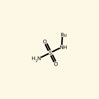 NS(=O)(=O)[NH][Ru]